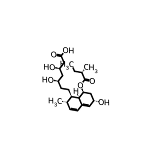 CC[C@H](C)C(=O)O[C@H]1C[C@H](O)C=C2C=C[C@H](C)[C@@H](CC[C@@H](O)C[C@@H](O)CC(=O)O)[C@H]21